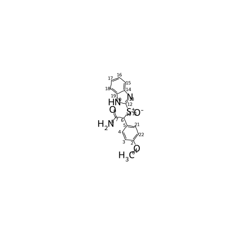 COc1ccc(C(C(N)=O)[S+]([O-])c2nc3ccccc3[nH]2)cc1